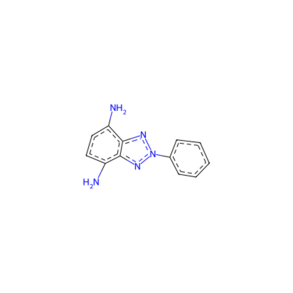 Nc1ccc(N)c2nn(-c3ccccc3)nc12